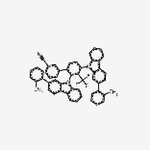 Cc1ccccc1-c1ccc2c3ccccc3n(-c3ccc(-c4cccc(C#N)c4)c(-n4c5ccccc5c5ccc(-c6ccccc6C)cc54)c3C(F)(F)F)c2c1